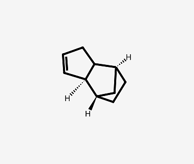 C1=C[C@H]2C(C1)[C@H]1CC[C@H]2C1